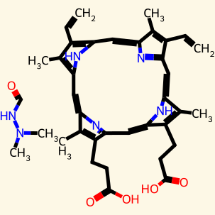 C=CC1=C(C)c2cc3[nH]c(cc4nc(cc5[nH]c(cc1n2)c(C)c5CCC(=O)O)C(CCC(=O)O)=C4C)c(C)c3C=C.CN(C)NC=O